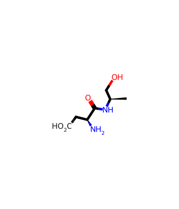 C[C@H](CO)NC(=O)[C@@H](N)CC(=O)O